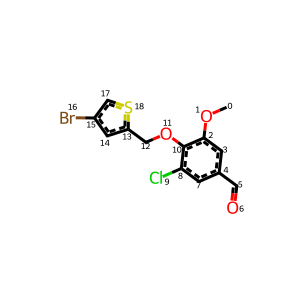 COc1cc(C=O)cc(Cl)c1OCc1cc(Br)cs1